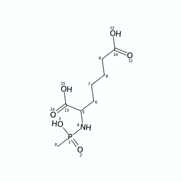 CP(=O)(O)NC(CCCCC(=O)O)C(=O)O